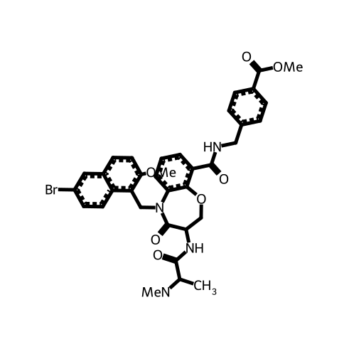 CNC(C)C(=O)NC1COc2c(C(=O)NCc3ccc(C(=O)OC)cc3)cccc2N(Cc2c(OC)ccc3cc(Br)ccc23)C1=O